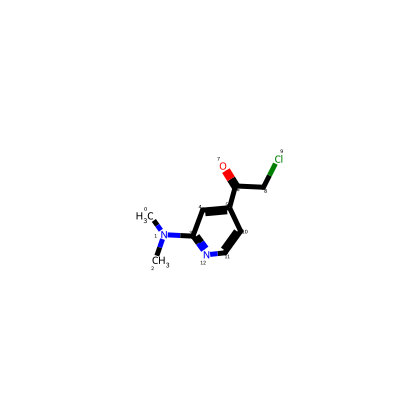 CN(C)c1cc(C(=O)CCl)ccn1